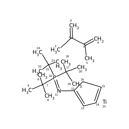 C=C(C)C(=C)C.CC(C)(C)P(=NC1=CC=CC1)(C(C)(C)C)C(C)(C)C.[Ti]